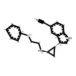 N#Cc1ccc2[nH]cc([C@@H]3C[C@H]3NCCOc3ccccc3)c2c1